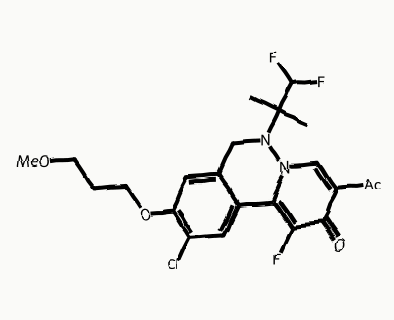 COCCCOc1cc2c(cc1Cl)-c1c(F)c(=O)c(C(C)=O)cn1N(C(C)(C)C(F)F)C2